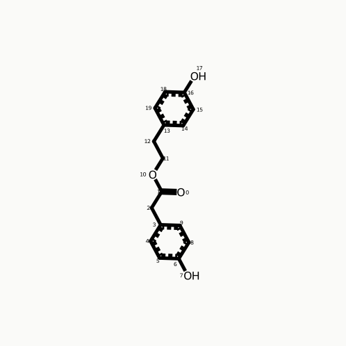 O=C(Cc1ccc(O)cc1)OCCc1ccc(O)cc1